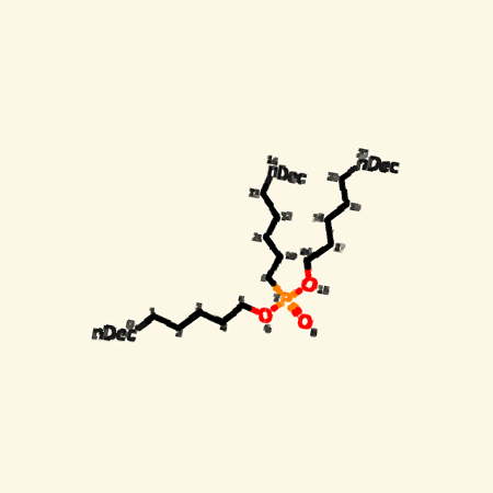 CCCCCCCCCCCCCCCOP(=O)(CCCCCCCCCCCCCCC)OCCCCCCCCCCCCCCC